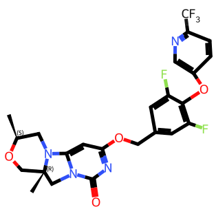 C[C@H]1CN2c3cc(OCc4cc(F)c(Oc5ccc(C(F)(F)F)nc5)c(F)c4)nc(=O)n3C[C@]2(C)CO1